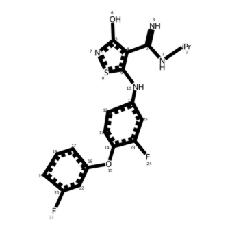 CC(C)NC(=N)c1c(O)nsc1Nc1ccc(Oc2cccc(F)c2)c(F)c1